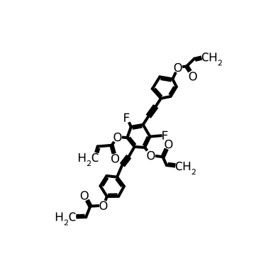 C=CC(=O)Oc1ccc(C#Cc2c(F)c(OC(=O)C=C)c(C#Cc3ccc(OC(=O)C=C)cc3)c(OC(=O)C=C)c2F)cc1